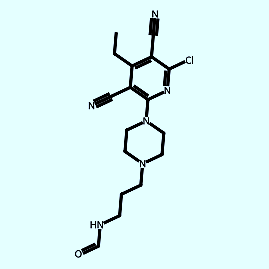 CCc1c(C#N)c(Cl)nc(N2CCN(CCCNC=O)CC2)c1C#N